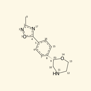 Cc1noc(-c2ccc([C@H]3CNCCO3)cc2)n1